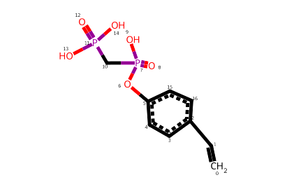 C=Cc1ccc(OP(=O)(O)CP(=O)(O)O)cc1